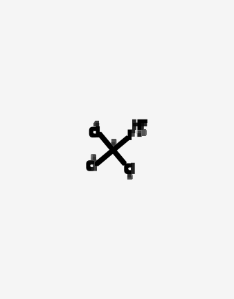 F.FC(Cl)(Cl)Cl